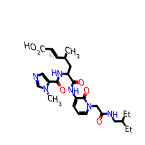 CCC(CC)CNC(=O)Cn1cccc(NC(=O)C(CC(C)/C=C/C(=O)O)NC(=O)c2cncn2C)c1=O